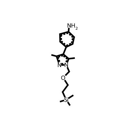 Cc1nn(COCC[Si](C)(C)C)c(C)c1-c1ccc(N)cc1